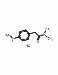 CN(C)C(=O)Cc1ccc(NN)cc1.Cl